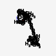 COc1cc2cc(c1Cl)N(C)C(=O)C[C@H](OC(=O)[C@H](C)N(C)C(=O)CCOCCOCCOCCOCCOCCOCCNC(=O)CNC(=O)CCn1c(CN(C)N(C)C(=O)OCC3c4ccccc4-c4ccccc43)cc3ccccc31)[C@]1(C)OC1[C@H](C)[C@@H]1C[C@@](O)(NC(=O)O1)[C@H](O)/C=C/C=C(\C)C2